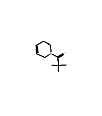 O=C(N1CC=[C]CC1)C(F)(F)F